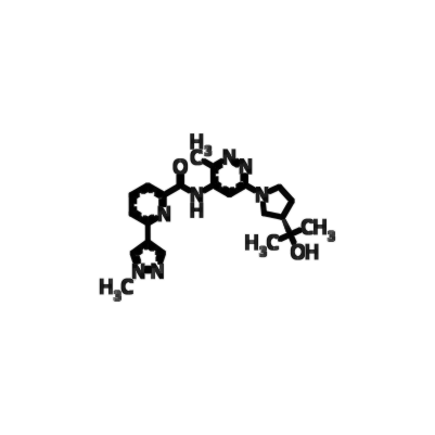 Cc1nnc(N2CC[C@@H](C(C)(C)O)C2)cc1NC(=O)c1cccc(-c2cnn(C)c2)n1